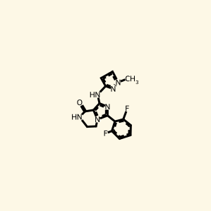 Cn1ccc(Nc2nc(-c3c(F)cccc3F)n3c2C(=O)NCC3)n1